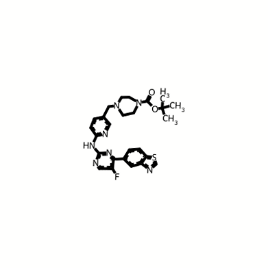 CC(C)(C)OC(=O)N1CCN(Cc2ccc(Nc3ncc(F)c(-c4ccc5scnc5c4)n3)nc2)CC1